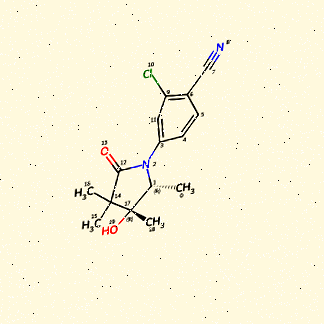 C[C@H]1N(c2ccc(C#N)c(Cl)c2)C(=O)C(C)(C)[C@@]1(C)O